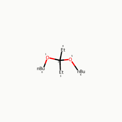 CCCCOC(CC)(CC)OCCCC